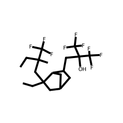 CCC1(CC(C)(CC)C(F)(F)F)CC2CC(CC(O)(C(F)(F)F)C(F)(F)F)C1C2